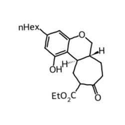 CCCCCCc1cc(O)c2c(c1)OC[C@@H]1CCC(=O)C(C(=O)OCC)C[C@@H]21